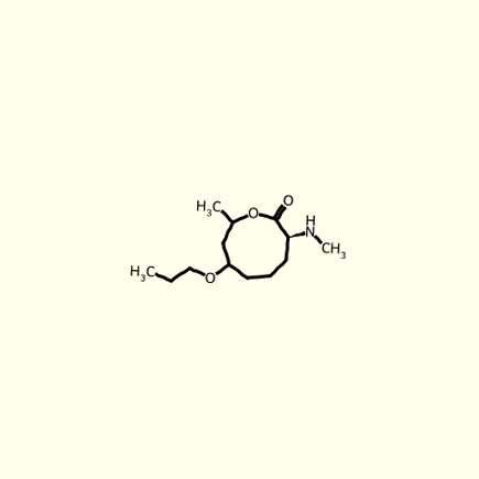 CCCOC1CCC[C@H](NC)C(=O)OC(C)C1